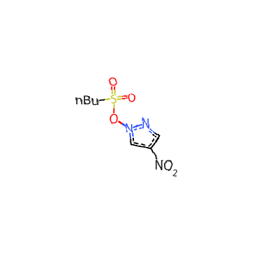 CCCCS(=O)(=O)On1cc([N+](=O)[O-])cn1